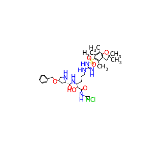 Cc1c(C)c(S(=O)(=O)NC(=N)NCCC[C@H](NC(=O)[C@@H]2C[C@@H](OCc3ccccc3)CN2)C(O)C(=O)NC2CC2)c(C)c2c1OC(C)(C)C2.Cl